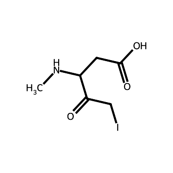 CNC(CC(=O)O)C(=O)CI